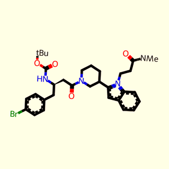 CNC(=O)CCn1c(C2CCCN(C(=O)C[C@@H](Cc3ccc(Br)cc3)NC(=O)OC(C)(C)C)C2)cc2ccccc21